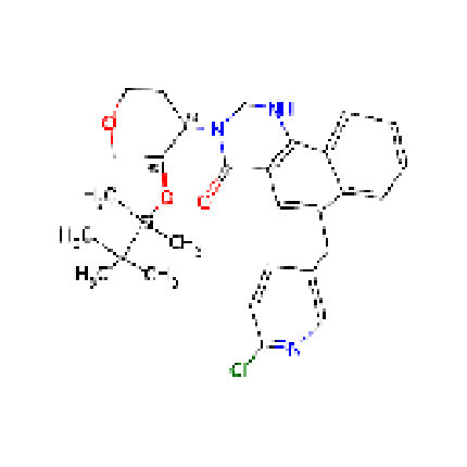 CC(C)(C)[Si](C)(C)O[C@H]1COCC[C@@H]1N1CNc2c(cc(Cc3ccc(Cl)nc3)c3ccccc23)C1=O